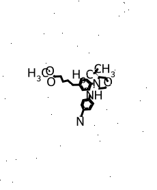 COC(=O)CCCCc1ccc(N2CCOC[C@H]2C(C)C)c(Nc2ccc(C#N)cc2)c1